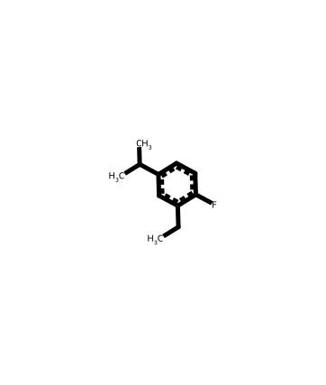 CCc1cc([C](C)C)ccc1F